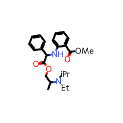 CCN(C(C)C)C(C)COC(=O)C(Nc1ccccc1C(=O)OC)c1ccccc1